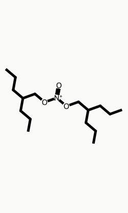 CCCC(CCC)CO[N+](=O)OCC(CCC)CCC